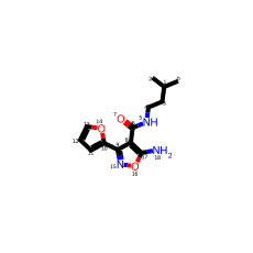 CC(C)CCNC(=O)c1c(-c2ccco2)noc1N